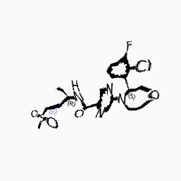 C[C@H](/C=C/S(C)(=O)=O)NC(=O)c1cnc(N2CCOC[C@@H]2c2cccc(F)c2Cl)cn1